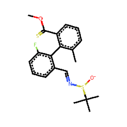 COC(=S)c1cccc(C)c1-c1c(F)cccc1/C=N/[S+]([O-])C(C)(C)C